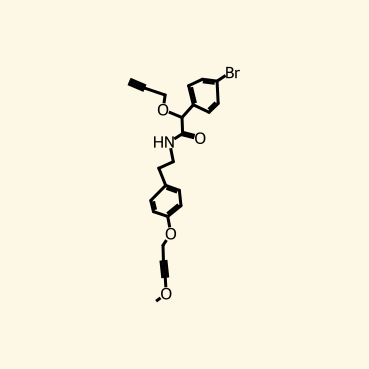 C#CCOC(C(=O)NCCc1ccc(OCC#COC)cc1)c1ccc(Br)cc1